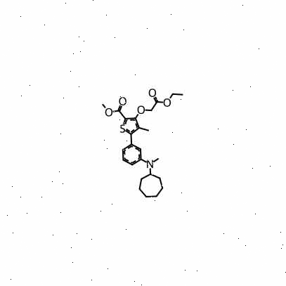 CCOC(=O)COc1c(C(=O)OC)sc(-c2cccc(N(C)C3CCCCCC3)c2)c1C